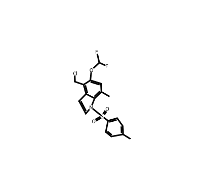 Cc1ccc(S(=O)(=O)n2ccc3c(CCl)c(OC(F)F)cc(C)c32)cc1